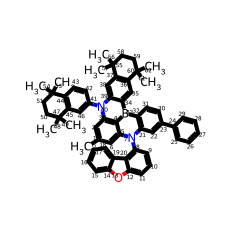 Cc1cc2c3c(c1)N(c1cccc4oc5ccccc5c14)c1cc(-c4ccccc4)ccc1B3c1cc3c(cc1N2c1ccc2c(c1)C(C)(C)CCC2(C)C)C(C)(C)CCC3(C)C